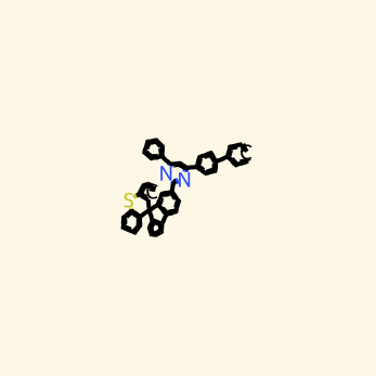 c1ccc(-c2ccc(-c3cc(-c4ccccc4)nc(-c4ccc5c(c4)C4(c6ccccc6Sc6ccccc64)c4ccccc4-5)n3)cc2)cc1